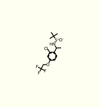 CC(N[S+]([O-])C(C)(C)C)c1ccc(OCC(F)(F)F)cc1Cl